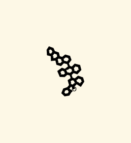 c1ccc2cc3c(ccc4c(-c5c6ccccc6c(-c6cc7c8ccccc8oc7c7ccccc67)c6ccccc56)cccc43)cc2c1